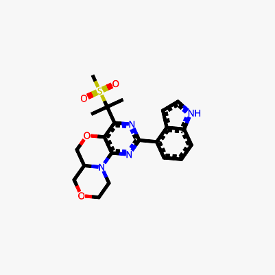 CC(C)(c1nc(-c2cccc3[nH]ccc23)nc2c1OCC1COCCN21)S(C)(=O)=O